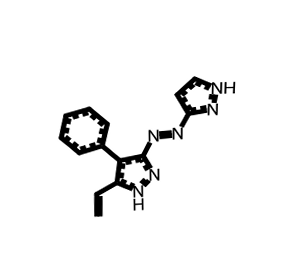 C=Cc1[nH]nc(N=Nc2cc[nH]n2)c1-c1ccccc1